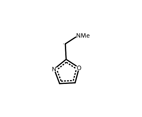 CN[CH]c1ncco1